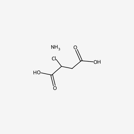 N.O=C(O)CC(Cl)C(=O)O